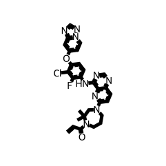 C=CC(=O)N1CCCN(c2ccc3ncnc(Nc4ccc(Oc5ccn6ncnc6c5)c(Cl)c4F)c3n2)CC1(C)C